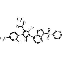 COC(=O)c1c(-c2ccc(C)cc2F)[nH]c(-c2ccnc3c2ccn3S(=O)(=O)c2ccccc2)c1Br